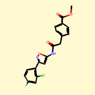 COC(=O)c1ccc(CC(=O)Nc2cc(-c3ccc(F)cc3Cl)no2)cc1